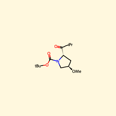 CO[C@@H]1C[C@@H](C(=O)C(C)C)N(C(=O)OC(C)(C)C)C1